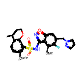 COc1ccc2c(c1S(=O)(=O)Nc1noc3cc(Cn4cccn4)c(F)c(OC)c13)OCC=C2C